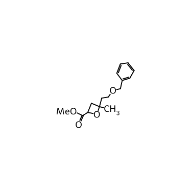 COC(=O)C1CC(C)(CCOCc2ccccc2)O1